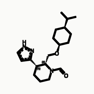 CC(C)[C@H]1CC[C@@H](OC[C@H]2[C@@H](c3cc[nH]n3)CCCN2C=O)CC1